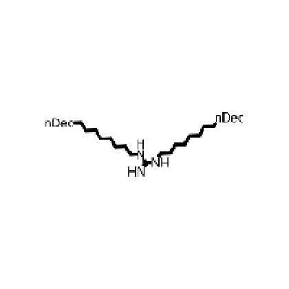 CCCCCCCCCCCCCCCCCCNC(=N)NCCCCCCCCCCCCCCCCCC